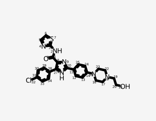 O=C(Nc1nccs1)c1nc(-c2ccc(N3CCN(CCO)CC3)cc2)[nH]c1-c1ccc(Cl)cc1